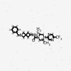 C[C@@H]1CN(c2cnc(C(F)(F)F)cn2)[C@H](C)CN1C(=O)NC1CC2(C1)CN(Cc1ccccc1)C2